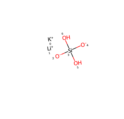 [K+].[Li+].[O-][Si]([O-])(O)O